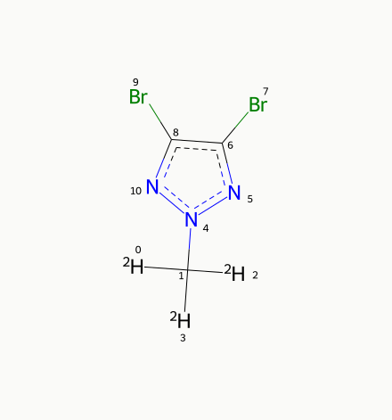 [2H]C([2H])([2H])n1nc(Br)c(Br)n1